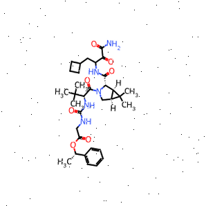 C[C@H](OC(=O)CNC(=O)N[C@H](C(=O)N1C[C@H]2[C@@H]([C@H]1C(=O)NC(CC1CCC1)C(=O)C(N)=O)C2(C)C)C(C)(C)C)c1ccccc1